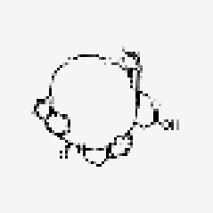 Cc1c2ccc3c1nnn3CCCCCCn1ccc3cc(ccc31)C(=O)N1CCc3ccc(cc3C1)C2CC(=O)O